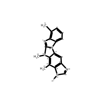 Cc1cccc2c1nc1n(C)c3c(C)c4c(cc3n21)ncn4I